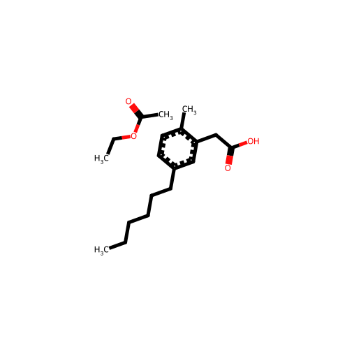 CCCCCCc1ccc(C)c(CC(=O)O)c1.CCOC(C)=O